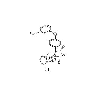 COc1cccc(Oc2ccc([C@]3(Cn4cccc(C)c4=O)NC(=O)NC3=O)cc2)c1